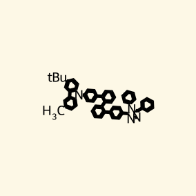 Cc1ccc2c(c1)c1cc(C(C)(C)C)ccc1n2-c1ccc(-c2ccccc2-c2ccccc2-c2ccc(-c3nnc(-c4ccccc4)n3-c3ccccc3)cc2)cc1